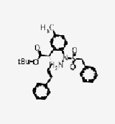 Cc1ccc(N(N)S(=O)(=O)Cc2ccccc2)c([C@H](C/C=C/c2ccccc2)C(=O)OC(C)(C)C)c1